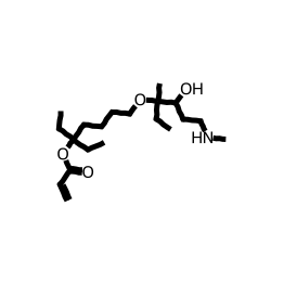 C=CC(=O)OC(CC)(CC)CCCCOC(C)(CC)C(O)CCNC